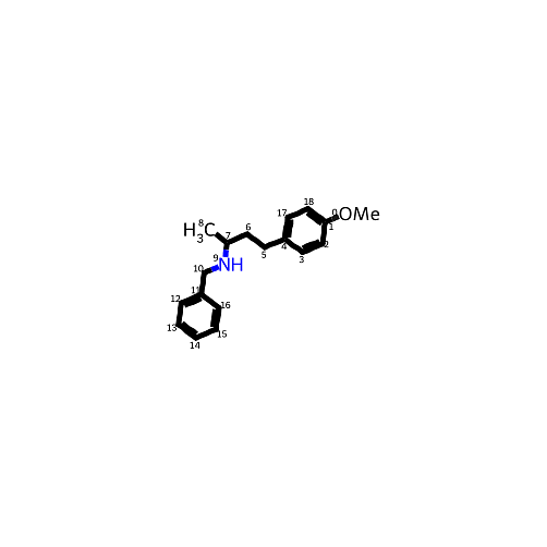 COc1ccc(CCC(C)NCc2ccccc2)cc1